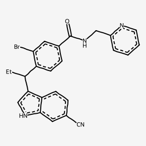 CCC(c1ccc(C(=O)NCc2ccccn2)cc1Br)c1c[nH]c2cc(C#N)ccc12